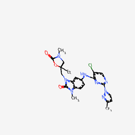 CCC1(Cn2c(=O)n(C)c3ccc(Nc4nc(-n5ccc(C(F)(F)F)n5)ncc4Cl)cc32)CN(C)C(=O)O1